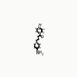 NC1CCN(CCCC(=O)N2CCNCC2)CC1